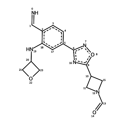 N=Cc1ccc(-c2noc(C3CN(C=O)C3)n2)cc1NC1COC1